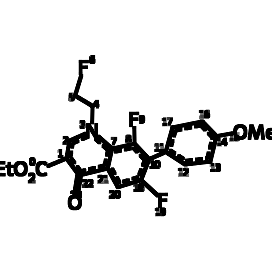 CCOC(=O)c1cn(CCF)c2c(F)c(-c3ccc(OC)cc3)c(F)cc2c1=O